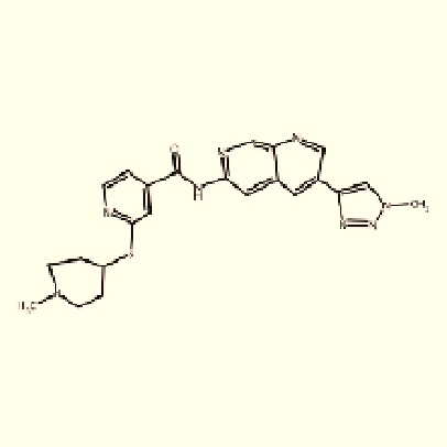 CN1CCC(Sc2cc(C(=O)Nc3cc4cc(-c5cn(C)nn5)cnc4cn3)ccn2)CC1